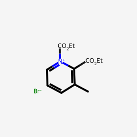 CCOC(=O)c1c(C)ccc[n+]1C(=O)OCC.[Br-]